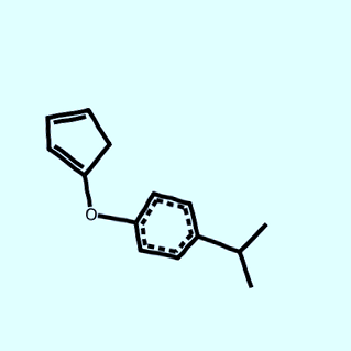 CC(C)c1ccc(OC2=CC=CC2)cc1